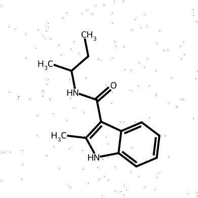 CCC(C)NC(=O)c1c(C)[nH]c2ccccc12